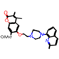 COc1cc2oc(=O)c(C)c(C)c2cc1OCCN1CCN(c2cccc3ccc(C)nc23)CC1